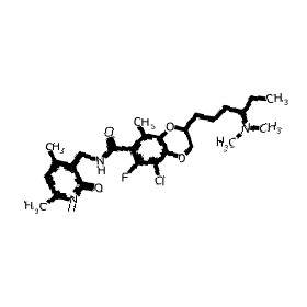 CCC(CCCC1COc2c(Cl)c(F)c(C(=O)NCc3c(C)cc(C)[nH]c3=O)c(C)c2O1)N(C)C